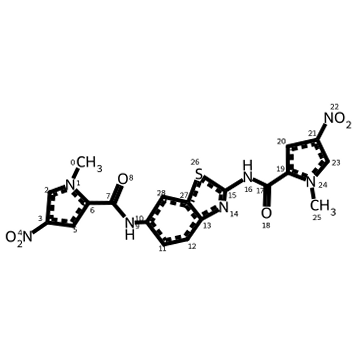 Cn1cc([N+](=O)[O-])cc1C(=O)Nc1ccc2nc(NC(=O)c3cc([N+](=O)[O-])cn3C)sc2c1